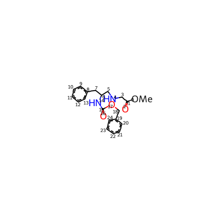 COC(=O)CNCC(Cc1ccccc1)NC(=O)OCc1ccccc1